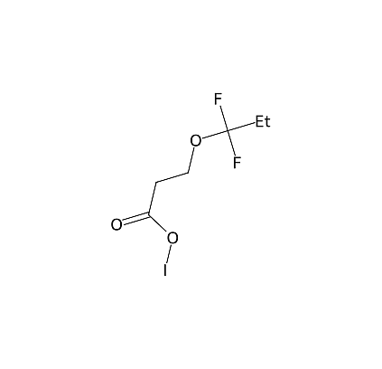 CCC(F)(F)OCCC(=O)OI